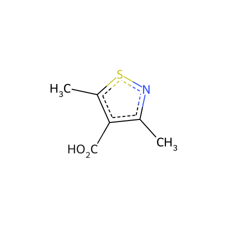 Cc1nsc(C)c1C(=O)O